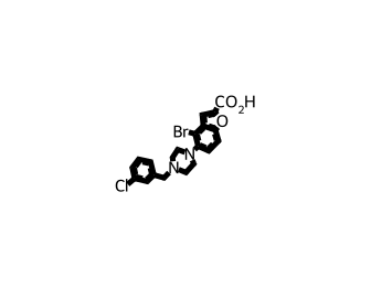 O=C(O)c1cc2c(Br)c(N3CCN(Cc4cccc(Cl)c4)CC3)ccc2o1